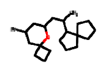 CC(C)C1CC(CC(C)C2CCCC23CCCC3)OC2(CCC2)C1